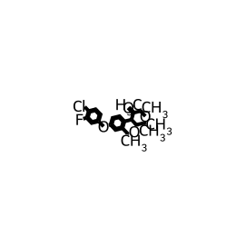 CCc1cc(Oc2ccc(Cl)c(F)c2)ccc1C1C(=O)C(C)(C)OC(C)(C)C1=O